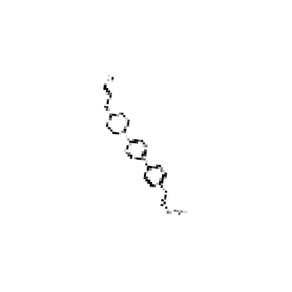 CCC=CC[C@H]1CC[C@H](c2ccc(-c3ccc(COCCCCC)cc3)cc2)CC1